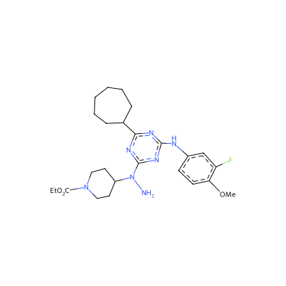 CCOC(=O)N1CCC(N(N)c2nc(Nc3ccc(OC)c(F)c3)nc(C3CCCCCC3)n2)CC1